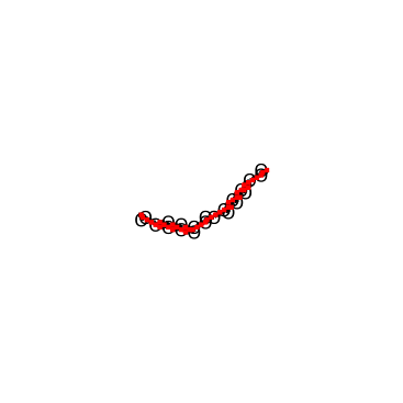 C=CC(=O)OCCCCOc1ccc(C(=O)Oc2ccc(C(=O)Oc3ccc(C(=O)OCCCCOCCC(=O)OCCCCOC(=O)c4ccc(OC(=O)c5ccc(OC(=O)c6ccc(OCCCCOC(=O)C=C)cc6)cc5)cc4)cc3)cc2)cc1